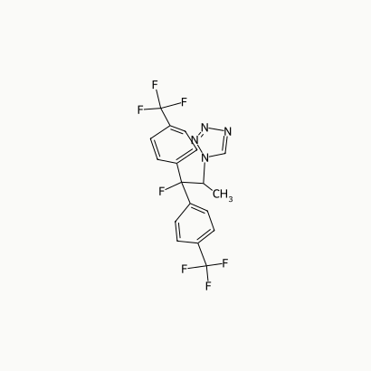 CC(n1cnnn1)C(F)(c1ccc(C(F)(F)F)cc1)c1ccc(C(F)(F)F)cc1